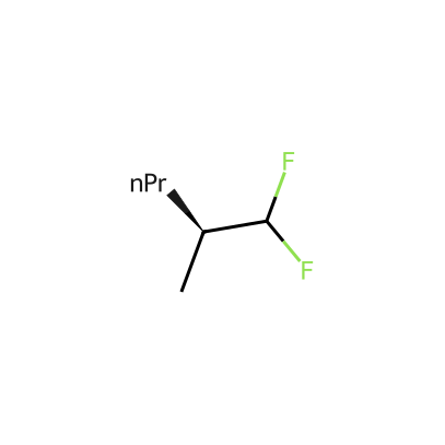 CCC[C@H](C)C(F)F